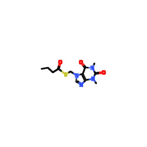 CCCC(=O)SCn1cnc2c1c(=O)n(C)c(=O)n2C